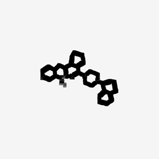 CC1C=NC=CC1Cc1nnc(N2CCN(c3cccc4ccccc34)CC2)c2ccccc12